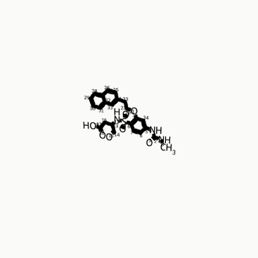 CNC(=O)Nc1ccc(S(=O)(=O)NC(C=O)CC(=O)O)c(OCCc2ccc3ccccc3c2)c1